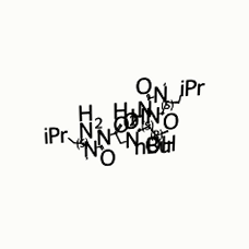 CCCCN(CC(=O)N(C)C(=O)N(C)[C@H](N)CC(C)C)C(=O)[C@@H](NC(=O)[C@H](CC(C)C)N(C)C(N)=O)[C@@H](C)O